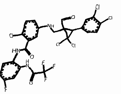 O=CC1(CNc2ccc(Cl)c(C(=O)Nc3ccc(F)cc3NC(=O)C(F)(F)F)c2)C(c2ccc(Cl)c(Cl)c2)C1(Cl)Cl